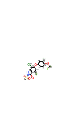 CS(=O)(=O)NC(=O)c1cc(Cl)c(Oc2ccc(OC(F)F)c(Cl)c2)cc1F